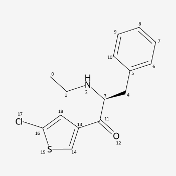 CCN[C@@H](Cc1ccccc1)C(=O)c1csc(Cl)c1